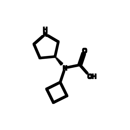 O=C(O)N(C1CCC1)[C@@H]1CCNC1